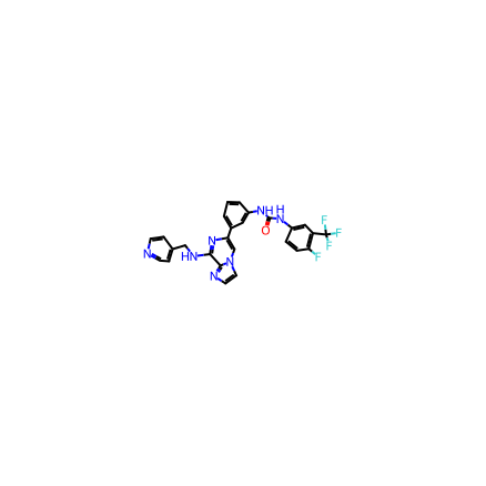 O=C(Nc1cccc(-c2cn3ccnc3c(NCc3ccncc3)n2)c1)Nc1ccc(F)c(C(F)(F)F)c1